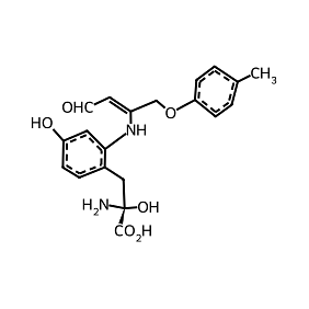 Cc1ccc(OCC(=CC=O)Nc2cc(O)ccc2C[C@@](N)(O)C(=O)O)cc1